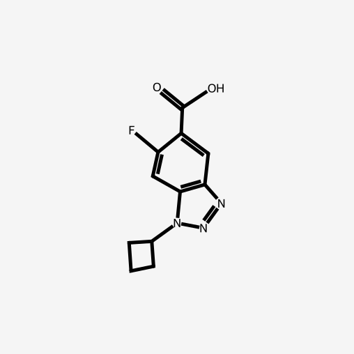 O=C(O)c1cc2nnn(C3CCC3)c2cc1F